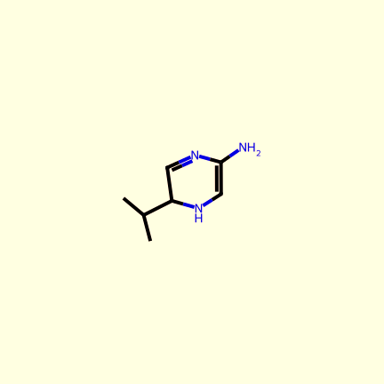 CC(C)C1C=NC(N)=CN1